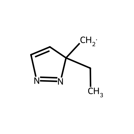 [CH2]C1(CC)C=CN=N1